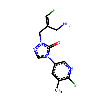 Cc1cc(-n2cnn(C/C(=C/F)CN)c2=O)cnc1Br